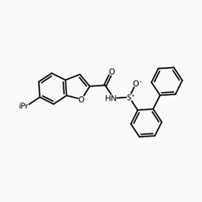 CC(C)c1ccc2cc(C(=O)N[S+]([O-])c3ccccc3-c3ccccc3)oc2c1